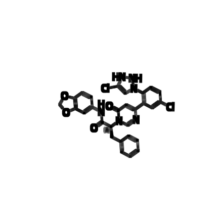 O=C(Nc1ccc2c(c1)OCO2)[C@H](Cc1ccccc1)n1cnc(-c2cc(Cl)ccc2N2C=C(Cl)NN2)cc1=O